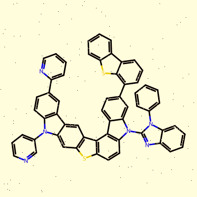 c1ccc(-n2c(-n3c4cc(-c5cccc6c5sc5ccccc56)ccc4c4c5c(ccc43)sc3cc4c(cc35)c3cc(-c5ccccn5)ccc3n4-c3cccnc3)nc3ccccc32)cc1